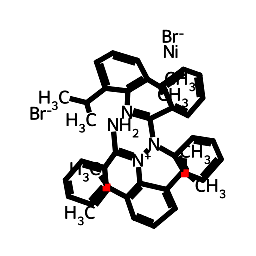 CC(C)c1cccc(C(C)C)c1N=C(c1ccccc1)N(c1ccccc1)[N+](=C(N)c1ccccc1)c1c(C(C)C)cccc1C(C)C.[Br-].[Br-].[Ni]